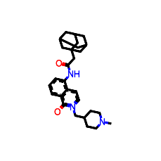 CN1CCC(Cn2ccc3c(NC(=O)CC45CC6CC(CC(C6)C4)C5)cccc3c2=O)CC1